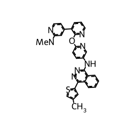 CNc1cc(-c2cccnc2Oc2ccc(Nc3nnc(-c4cc(C)cs4)c4ccccc34)cn2)ccn1